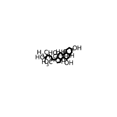 CC(C[C@@H](C)[C@H]1CC[C@H]2[C@@H]3[C@@H](O)C[C@@H]4C[C@H](O)CC[C@]4(C)[C@H]3C[C@H](O)[C@]12C)C(=O)O